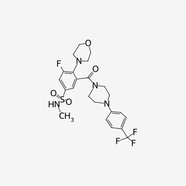 CNS(=O)(=O)c1cc(F)c(N2CCOCC2)c(C(=O)N2CCN(c3ccc(C(F)(F)F)cc3)CC2)c1